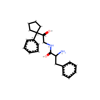 NC(Cc1ccccc1)C(=O)NCC(=O)C1(c2ccccc2)CCCC1